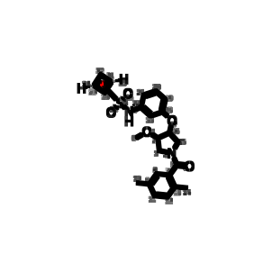 COC1CN(C(=O)c2cc(C)ccc2C)CC1Oc1cccc(NS(=O)(=O)N2C[C@H]3C[C@@H]2C3)c1